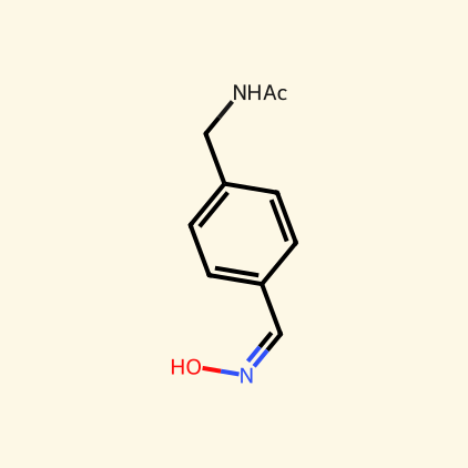 CC(=O)NCc1ccc(/C=N\O)cc1